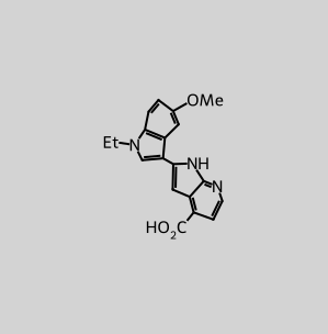 CCn1cc(-c2cc3c(C(=O)O)ccnc3[nH]2)c2cc(OC)ccc21